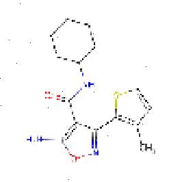 Cc1ccsc1-c1noc(N)c1C(=O)NC1CCCCC1